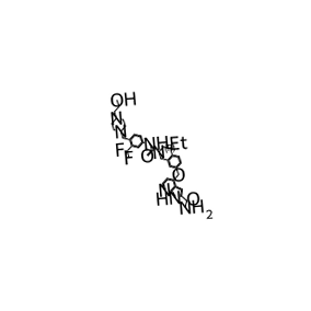 CC[C@H]1CN(C(=O)Nc2ccc(CN3CCN(CCO)CC3)c(C(F)F)c2)Cc2cc(Oc3ccnc4[nH]c(C(N)=O)cc34)ccc21